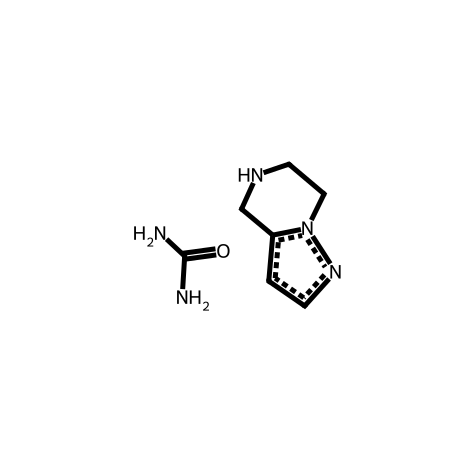 NC(N)=O.c1cc2n(n1)CCNC2